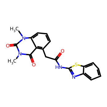 Cn1c(=O)c2c(CC(=O)Nc3nc4ccccc4s3)cccc2n(C)c1=O